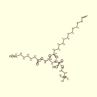 C=CCCCCCCCCCCCCC(=O)O[C@H](COC(=O)CCCCCCCCCCCCCCC)COP(=O)(O)OCC[N+](C)(C)C